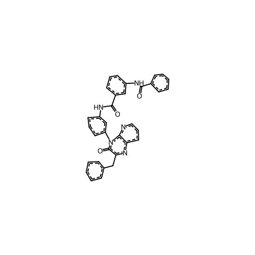 O=C(Nc1cccc(C(=O)Nc2cccc(-n3c(=O)c(Cc4ccccc4)nc4cccnc43)c2)c1)c1ccccc1